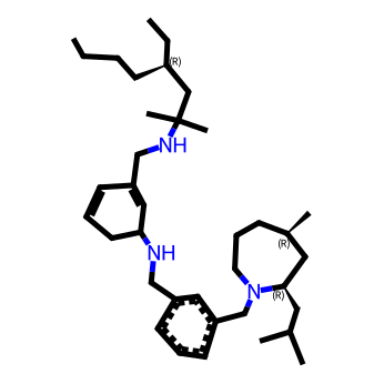 CCCC[C@@H](CC)CC(C)(C)NCC1=CC(NCc2cccc(CN3CCC[C@@H](C)C[C@H]3CC(C)C)c2)CC=C1